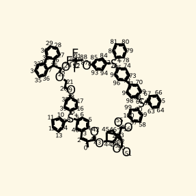 C/C(=C/c1cccc([S+](c2ccccc2)c2ccc(OCCOC(=O)C3c4ccccc4-c4ccccc43)cc2)c1)C(=O)OC1C2CC3C1OC(=O)C3C2C(=O)Oc1ccc([S+](c2ccccc2)c2ccc(-c3ccc([S+](c4ccccc4)c4ccc(OCC(F)(F)F)cc4)cc3)cc2)cc1